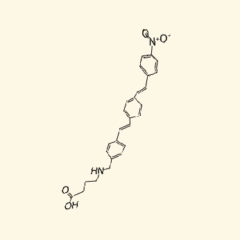 O=C(O)CCCNCc1ccc(/C=C/c2ccc(/C=C/c3ccc([N+](=O)[O-])cc3)cc2)cc1